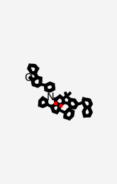 CC1(C)c2cc(-c3cccc4ccccc34)ccc2-c2ccc(N(c3cccc(-c4ccc5oc6ccccc6c5c4)c3)c3ccccc3-c3ccc(-c4ccccc4)cc3)cc21